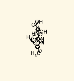 COc1ccc(OCC2CC2)c(-c2ncnc3c(C(=O)N[C@@H]4CN(C(=O)CO)C[C@H]4O)c(C)[nH]c23)c1